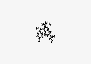 C=CCNc1nc(-c2cccc(C)n2)c2c(N)c(C(N)=O)sc2n1